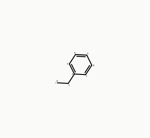 [CH]Cc1ccccc1